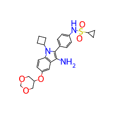 Nc1c(-c2ccc(NS(=O)(=O)C3CC3)cc2)n(C2CCC2)c2ccc(OC3COCOC3)cc12